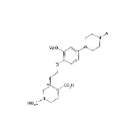 COc1cc(N2CCN(C(C)=O)CC2)ccc1OCC[C@@H]1CN(C(=O)O)CCN1C(=O)O